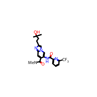 CNC(=O)c1cc2nc(CCC(C)(C)O)cn2cc1NC(=O)c1cccc(C(F)(F)F)n1